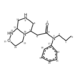 CCCN(C(=O)CC1CNCC2NOCCN12)c1ccccc1